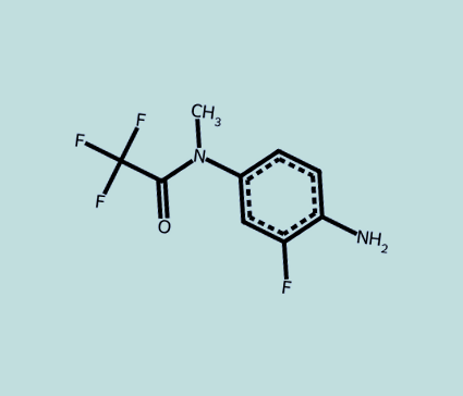 CN(C(=O)C(F)(F)F)c1ccc(N)c(F)c1